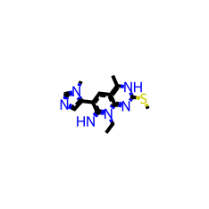 CCn1c(=N)c(-c2cncn2C)cc2c1=NC(SC)NC=2C